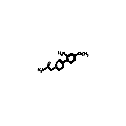 COc1ccc(C2=CCN(CC(N)=O)CC2)c(N)c1